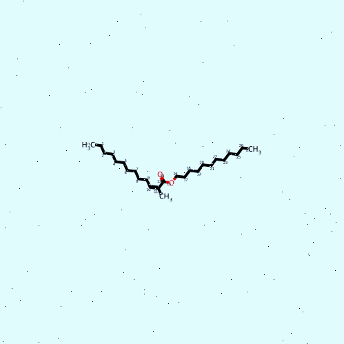 CCCCCCCCCCC=C(C)C(=O)OCCCCCCCCCCCC